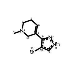 CN1CCC=C(c2n[nH]cc2Br)C1